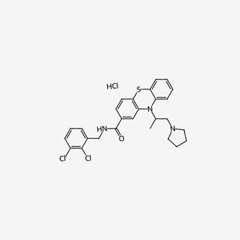 CC(CN1CCCC1)N1c2ccccc2Sc2ccc(C(=O)NCc3cccc(Cl)c3Cl)cc21.Cl